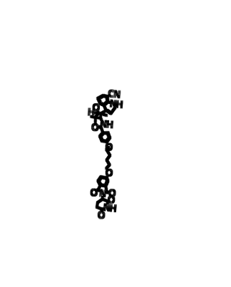 CC1(C)C(NC(=O)c2ccc(OCCCCCOc3ccc4c(c3)C(=O)N(C3CCC(=O)NC3=O)C4=O)cc2)C2(C)C3=CCNc4c(C#N)ccc(c43)O[C@@H]12